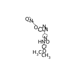 CC(C)Oc1ccc(NC(=O)N2CCC(c3ncnc4cc(OCCCN5CCOCC5)ccc34)CC2)cc1